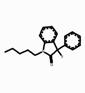 CCCCCN1C(=O)C(F)(c2ccccc2)c2ccccc21